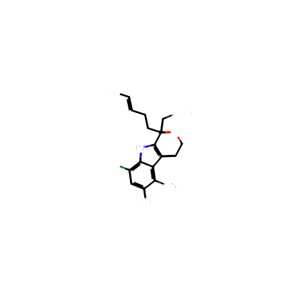 CC=CCCC1(CC(=O)O)OCCc2c1[nH]c1c(F)cc(C)c(C#N)c21